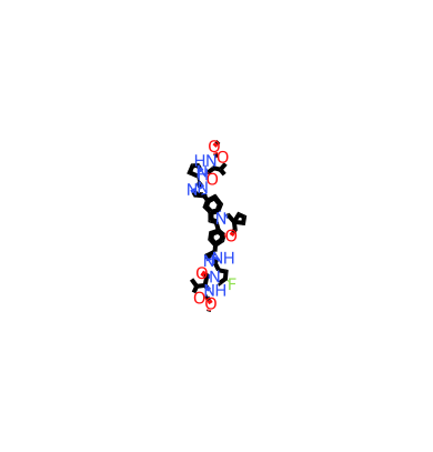 COC(=O)NC(C(=O)N1C[C@@H](F)CC1c1ncc(-c2ccc3c(c2)OCC2(CCC2)Cn2c-3cc3cc(-c4cnc([C@H]5CCCN5C(=O)[C@@H](NC(=O)OC)C(C)C)[nH]4)ccc32)[nH]1)C(C)C